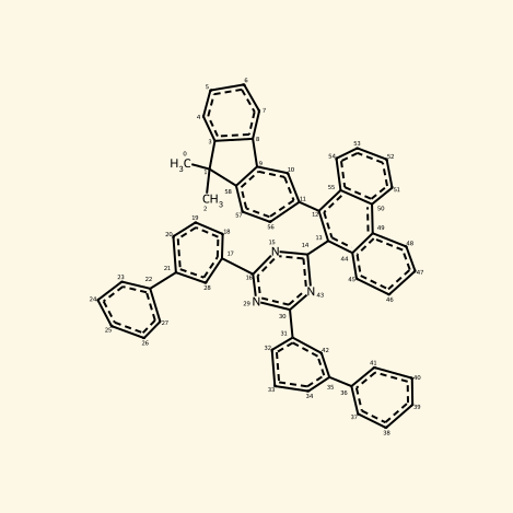 CC1(C)c2ccccc2-c2cc(-c3c(-c4nc(-c5cccc(-c6ccccc6)c5)nc(-c5cccc(-c6ccccc6)c5)n4)c4ccccc4c4ccccc34)ccc21